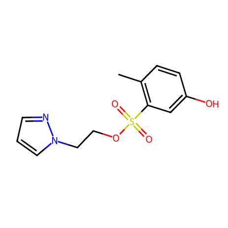 Cc1ccc(O)cc1S(=O)(=O)OCCn1cccn1